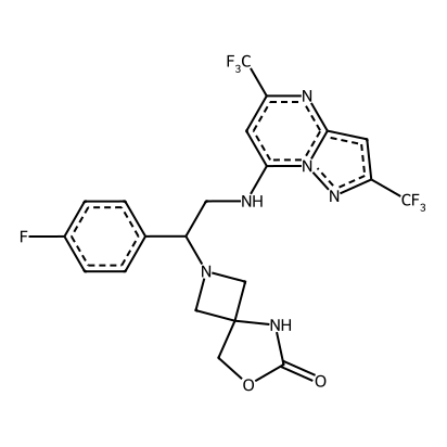 O=C1NC2(CO1)CN(C(CNc1cc(C(F)(F)F)nc3cc(C(F)(F)F)nn13)c1ccc(F)cc1)C2